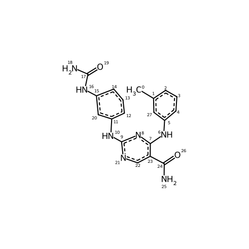 Cc1cccc(Nc2nc(Nc3cccc(NC(N)=O)c3)ncc2C(N)=O)c1